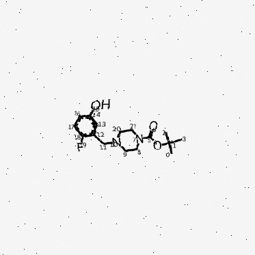 CC(C)(C)OC(=O)N1CCN(Cc2cc(O)ccc2F)CC1